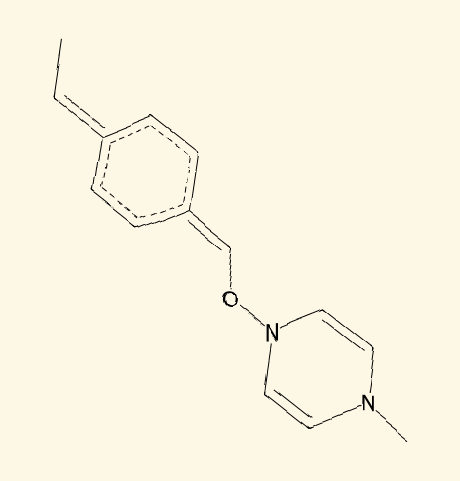 CC=c1ccc(=CON2C=CN(C)C=C2)cc1